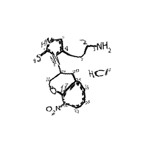 Cl.NCCc1c[nH]c(=S)n1C1COc2c(cccc2[N+](=O)[O-])C1